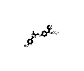 Cc1nc(-c2ccc(C(C)(C)C)cc2)sc1COc1ccc([C@H](CC(=O)O)c2ccon2)cc1